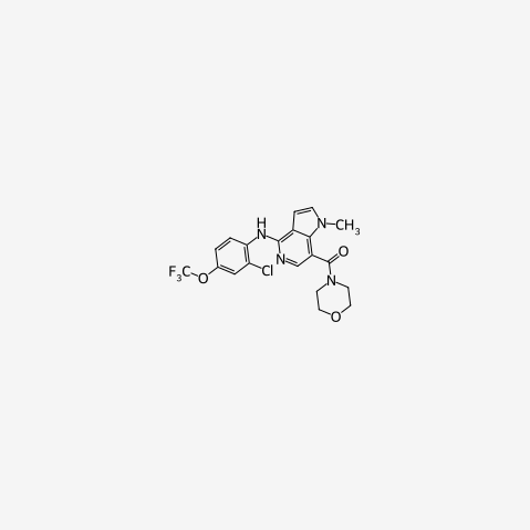 Cn1ccc2c(Nc3ccc(OC(F)(F)F)cc3Cl)ncc(C(=O)N3CCOCC3)c21